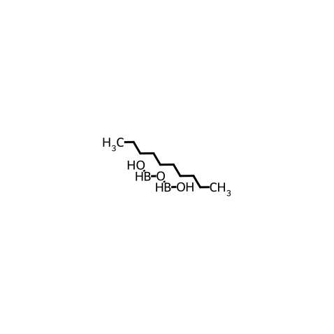 CCCCCCCCCC.OBOBO